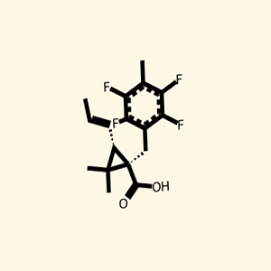 C/C=C/[C@H]1C(C)(C)[C@]1(Cc1c(F)c(F)c(C)c(F)c1F)C(=O)O